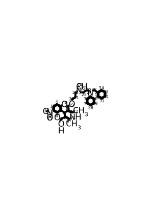 CC1=C(C(=O)O)C(c2cccc([N+](=O)[O-])c2)C(C(=O)OCCCN(C)CCN(Cc2ccccc2)c2ccccc2)=C(C)N1